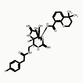 CC1(C)CCOc2c(C(=O)N[C@H]3CN4C(=N)N[C@@H](CNC(=O)Cc5ccc(F)cc5)[C@@H]5NC(=N)N[C@@]54C3(O)O)cccc21